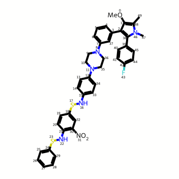 COc1c(-c2cccc(N3CCN(c4ccc(NSc5ccc(NSc6ccccc6)c([N+](=O)[O-])c5)cc4)CC3)c2)c(-c2ccc(F)cc2)n(C)c1C